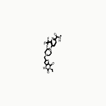 CCn1c(=O)[nH]c2cc(CN3CCN(c4ccc(C(=O)NC)nc4C(F)(F)F)CC3)sc2c1=O